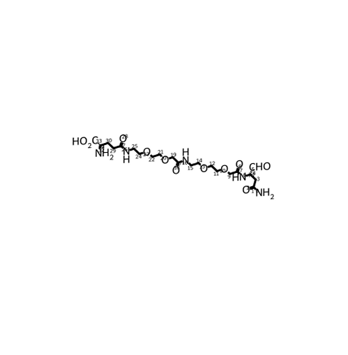 NC(=O)C[C@@H](C=O)NC(=O)COCCOCCNC(=O)COCCOCCNC(=O)CC[C@H](N)C(=O)O